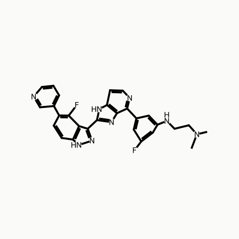 CN(C)CCNc1cc(F)cc(-c2nccc3[nH]c(-c4n[nH]c5ccc(-c6cccnc6)c(F)c45)nc23)c1